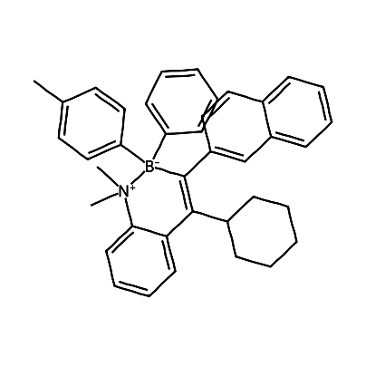 Cc1ccc([B-]2(c3ccccc3)C(c3ccc4ccccc4c3)=C(C3CCCCC3)c3ccccc3[N+]2(C)C)cc1